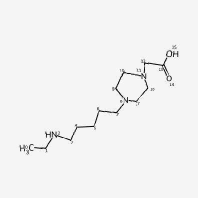 CCNCCCCCN1CCN(CC(=O)O)CC1